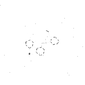 COc1ccc(C#N)c(-c2c(Cl)ccc3c2C(O)C(CNC(=O)O)(c2ccccn2)O3)c1F